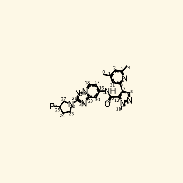 Cc1cc(C)nc(-c2cnn(C)c2C(=O)Nc2ccn3nc(N4CCC(F)C4)nc3c2)c1